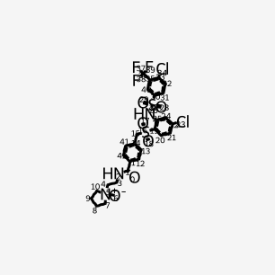 O=C(NCC[N+]1([O-])CCCC1)c1ccc(CS(=O)(=O)c2ccc(Cl)cc2NS(=O)(=O)c2ccc(Cl)c(C(F)(F)F)c2)cc1